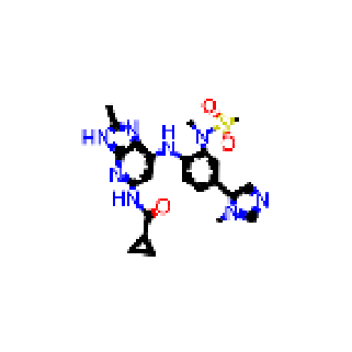 Cc1nc2c(Nc3ccc(-c4cncn4C)cc3N(C)S(C)(=O)=O)cc(NC(=O)C3CC3)nc2[nH]1